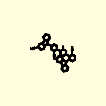 CC1CC(c2c(C#N)cccc2-n2c3ccccc3c3ccccc32)=CC=C1c1ccc(-n2c3ccccc3c3cc(C#N)ccc32)cc1C#N